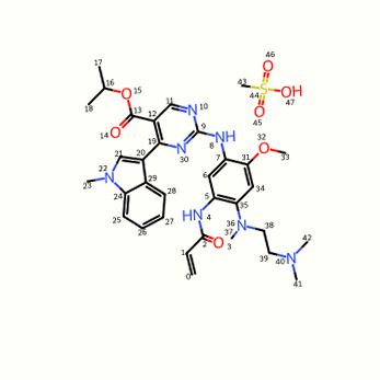 C=CC(=O)Nc1cc(Nc2ncc(C(=O)OC(C)C)c(-c3cn(C)c4ccccc34)n2)c(OC)cc1N(C)CCN(C)C.CS(=O)(=O)O